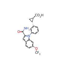 NC(=O)c1cc2ccc(OC(F)(F)F)cc2n1-c1cccc([C@@H]2C[C@H]2C(=O)O)c1